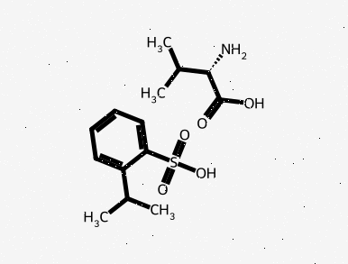 CC(C)[C@H](N)C(=O)O.CC(C)c1ccccc1S(=O)(=O)O